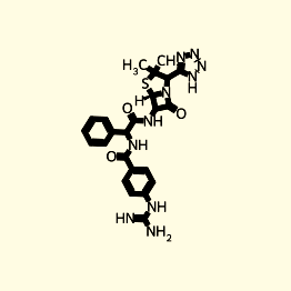 CC1(C)S[C@H]2C(NC(=O)C(NC(=O)c3ccc(NC(=N)N)cc3)c3ccccc3)C(=O)N2C1c1nnn[nH]1